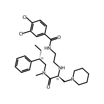 CC[C@H](CN(C)C(=O)[C@H](CN1CCCCC1)NCCNC(=O)c1ccc(Cl)c(Cl)c1)c1ccccc1